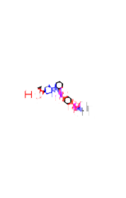 CN(C)S(=O)(=O)c1ccc(S(=O)(=O)Nc2ccccc2N2CCC(C)(C3(O)CC3)CC2)cc1